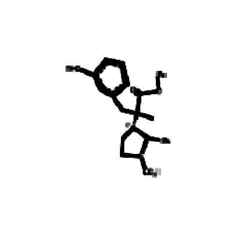 CC(C)(C)OC(=O)C(C)(Cc1cccc(C=O)c1)[C@H]1CCN(C(=O)O)C1C(C)(C)C